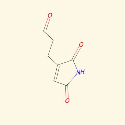 O=CCCC1=CC(=O)NC1=O